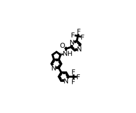 O=C(N[C@@H]1CCc2cnc(-c3ccnc(C(F)(F)F)c3)cc21)c1cncc(C(F)(F)F)n1